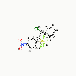 O=[N+]([O-])c1ccc(S(F)(F)(F)(F)/C=C(/Cl)c2ccccc2)cc1